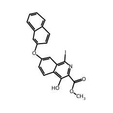 COC(=O)c1nc(I)c2cc(Oc3ccc4ccccc4c3)ccc2c1O